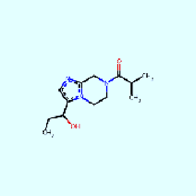 CCC(O)c1cnc2n1CCN(C(=O)C(C)C)C2